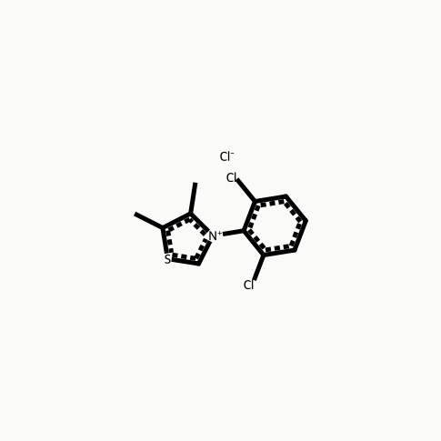 Cc1sc[n+](-c2c(Cl)cccc2Cl)c1C.[Cl-]